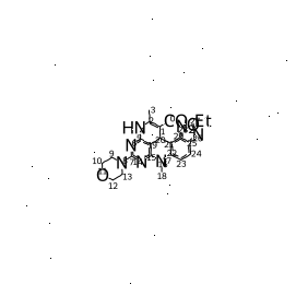 CCOC(=O)C1=C(C)Nc2nc(N3CCOCC3)nc(N(C)C)c2C1c1cccc2nonc12